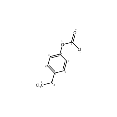 O=C(Cl)Oc1ccc(SC(Cl)(Cl)Cl)cc1